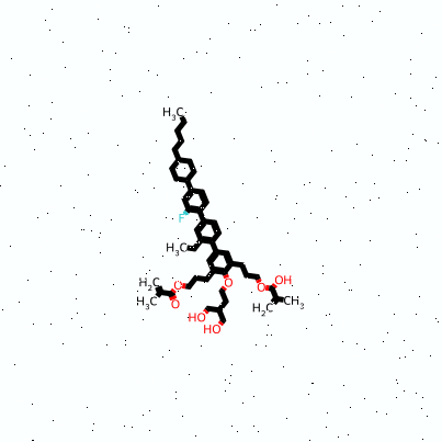 C=C(C)C(=O)OCCCc1cc(-c2ccc(-c3ccc(C4CCC(CCCCC)CC4)cc3F)cc2CC)cc(CCCOC(O)C(=C)C)c1OCCC(CO)CO